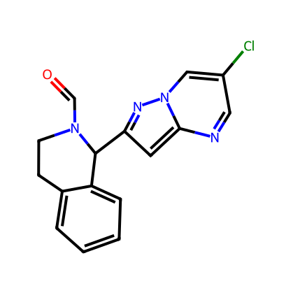 O=CN1CCc2ccccc2C1c1cc2ncc(Cl)cn2n1